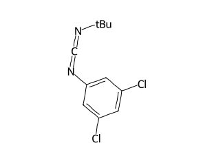 CC(C)(C)N=C=Nc1cc(Cl)cc(Cl)c1